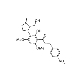 COc1cc(OC)c(C2CCN(C)C2CO)c(O)c1C(=O)C=Cc1ccc([N+](=O)[O-])cc1